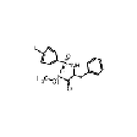 CONC(=O)C(Cc1ccccc1)NS(=O)(=O)c1ccc(I)cc1